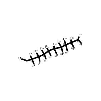 FCC(F)(F)C(F)(F)C(F)(F)C(F)(F)C(F)(F)C(F)(F)C(F)(F)C(F)(F)[C](F)F